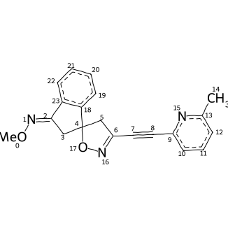 CO/N=C1\CC2(CC(C#Cc3cccc(C)n3)=NO2)c2ccccc21